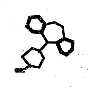 O=[C]N1CCN(C2c3ccccc3CCc3ccccc32)CC1